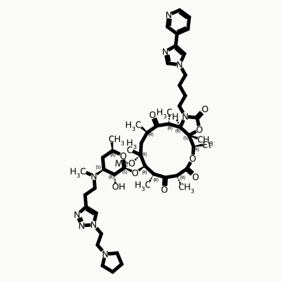 CC[C@H]1OC(=O)[C@H](C)C(=O)[C@H](C)[C@@H](O[C@@H]2O[C@H](C)C[C@H](N(C)CCc3cn(CCN4CCCC4)nn3)[C@H]2O)[C@](C)(OC)C[C@@H](C)C(=O)[C@H](C)[C@H]2N(CCCCn3cnc(-c4cccnc4)c3)C(=O)O[C@]12C